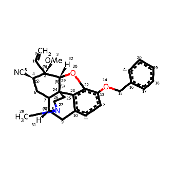 C=C[C@@]1(OC)[C@H](C#N)CC2[C@H]3Cc4ccc(OCc5ccccc5)c5c4[C@@]2(CCN3C)[C@H]1O5